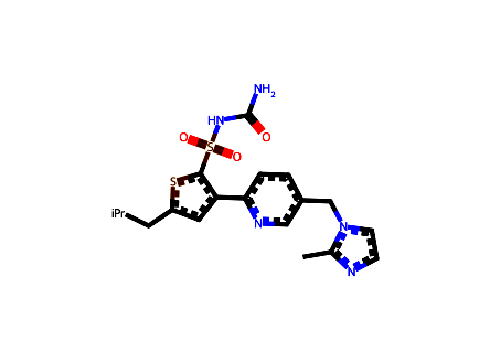 Cc1nccn1Cc1ccc(-c2cc(CC(C)C)sc2S(=O)(=O)NC(N)=O)nc1